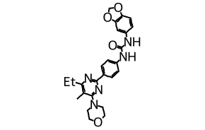 CCc1nc(-c2ccc(NC(=O)Nc3ccc4c(c3)OCO4)cc2)nc(N2CCOCC2)c1C